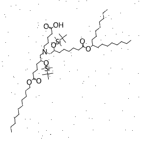 CCCCCCCCCCCOC(=O)CCCC(CN(CCCCC(=O)O)CC(CCCCCC(=O)OC(CCCCCCCC)CCCCCCCC)O[Si](C)(C)C(C)(C)C)O[Si](C)(C)C(C)(C)C